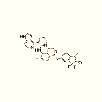 Cc1ccc2c(Nc3ccc4c(c3)C(F)(F)C(=O)N4C)nccc2c1Nc1ncccc1-c1ncnc2[nH]ccc12